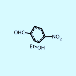 CCO.O=Cc1ccc([N+](=O)[O-])cc1